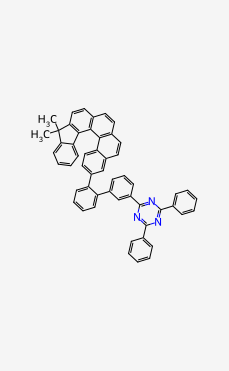 CC1(C)c2ccccc2-c2c1ccc1ccc3ccc4cc(-c5ccccc5-c5cccc(-c6nc(-c7ccccc7)nc(-c7ccccc7)n6)c5)ccc4c3c21